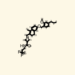 CCCc1ccc(COc2ccc3c(c2)CCC(CN2CC(C(=O)NCCC(F)(F)F)C2)=C3C)c(OC)c1